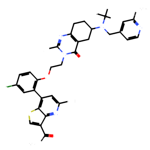 [2H]C([2H])([2H])N(Cc1ccnc(OC)c1)C1CCc2nc(C)n(CCOc3ccc(Cl)cc3-c3cc(C)nc4c(C(=O)OC)csc34)c(=O)c2C1